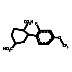 O=C(O)C1CCN(C(=O)O)C(c2ccc(OC(F)(F)F)cc2F)C1